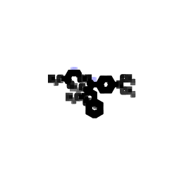 CC(=O)/C=C\O/N=C(/c1ccc(N(C)C)cc1)C(C)(Cc1ccccc1)N(C)C